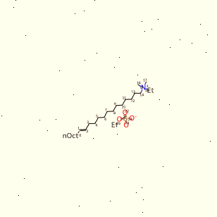 CCCCCCCCC=CCCCCCCCCCCCC[N+](C)(C)CC.CCOS(=O)(=O)[O-]